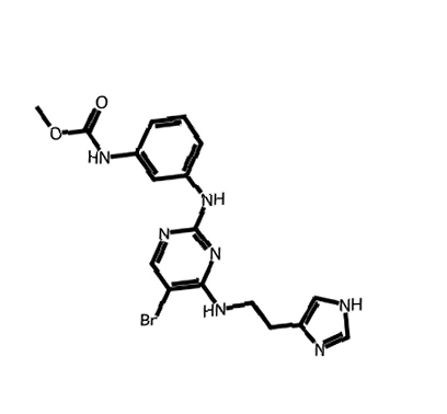 COC(=O)Nc1cccc(Nc2ncc(Br)c(NCCc3c[nH]cn3)n2)c1